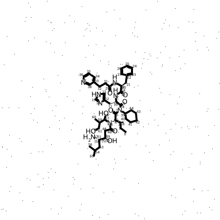 CC[C@H](C)[C@@H](C(=O)N(C(=O)[C@H](Cc1c[nH]cn1)NC(=O)[C@H](Cc1ccccc1)NC(=O)CCc1cccnc1)C1CCCCC1)N(C(=O)C[C@H](O)[C@@H](N)CC(C)C)C(O)C(C)CO